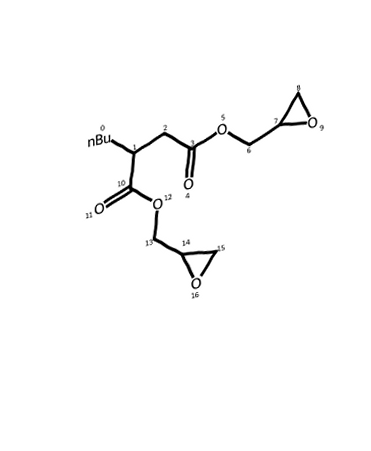 CCCCC(CC(=O)OCC1CO1)C(=O)OCC1CO1